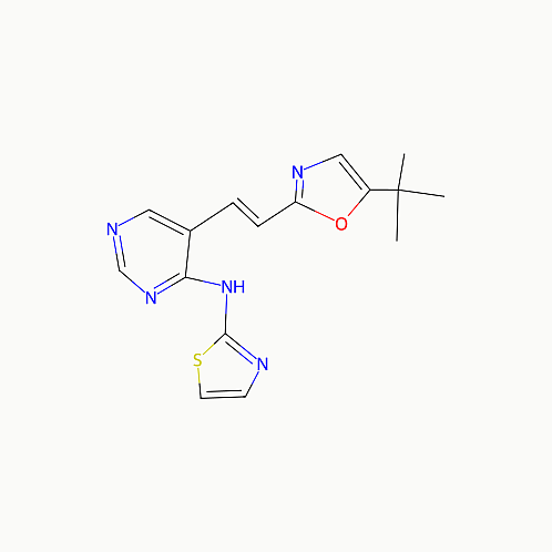 CC(C)(C)c1cnc(/C=C/c2cncnc2Nc2nccs2)o1